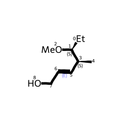 CC[C@H](OC)[C@@H](C)/C=C/CO